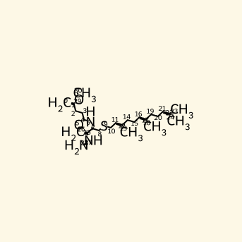 C=C(CCC(=O)NC(CSC/C=C(\C)CC/C=C(\C)CCC=C(C)C)C(=C)NN)OC